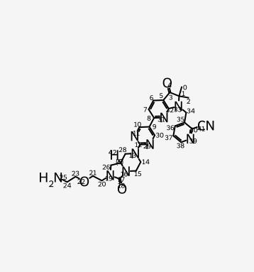 CC1(C)C(=O)c2ccc(-c3cnc(N4CCN5C(=O)N(CCOCCN)C[C@@H]5C4)nc3)nc2N1Cc1cccnc1C#N